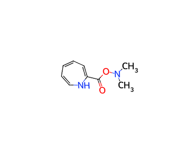 CN(C)OC(=O)C1=CC=CC=CN1